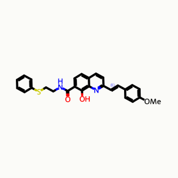 COc1ccc(/C=C/c2ccc3ccc(C(=O)NCCSc4ccccc4)c(O)c3n2)cc1